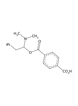 CC(C)CC(OC(=O)c1ccc(C(=O)O)cc1)N(C)C